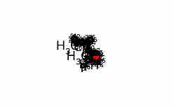 Cc1cc(C(F)(F)F)cc(-c2c(F)c(F)c(F)c(F)c2F)c1-n1c2ccccc2c2cc(-n3c4ccccc4c4cc5c(cc43)C(C)(C)c3ccccc3-5)ccc21